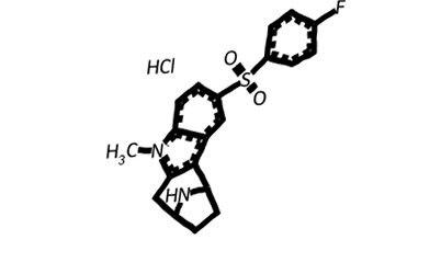 Cl.Cn1c2c(c3cc(S(=O)(=O)c4ccc(F)cc4)ccc31)C1CCC(C2)N1